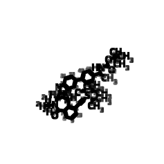 [2H]C([2H])([2H])N1C(=O)c2cccc(C#C[Si](C(C)C)(C(C)C)C(C)C)c2[C@H]2C[C@@H]1c1nc3ccc(-c4ccc(C(C)NC(=O)OC(C)(C)C)cc4)cc3n12